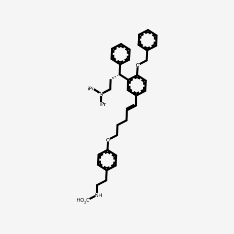 CC(C)N(CC[C@H](c1ccccc1)c1cc(C=CCCCOc2ccc(CCNC(=O)O)cc2)ccc1OCc1ccccc1)C(C)C